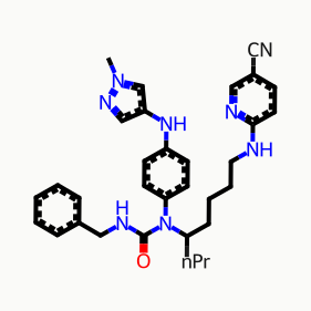 CCCC(CCCCNc1ccc(C#N)cn1)N(C(=O)NCc1ccccc1)c1ccc(Nc2cnn(C)c2)cc1